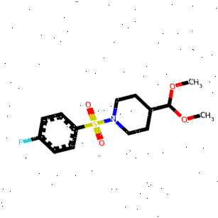 COC(OC)C1CCN(S(=O)(=O)c2ccc(F)cc2)CC1